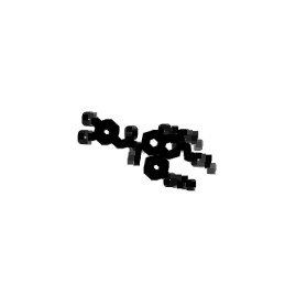 C=CC[N@@+]1(C)CC[C@@]2(c3cccc(OC)c3)C[C@@H](NC(=O)Cc3ccc(Cl)c(Cl)c3)CCC2(OC(C)=O)C1